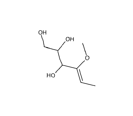 CC=C(OC)C(O)C(O)CO